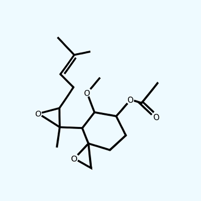 COC1C(OC(C)=O)CCC2(CO2)C1C1(C)OC1CC=C(C)C